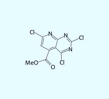 COC(=O)c1cc(Cl)nc2nc(Cl)nc(Cl)c12